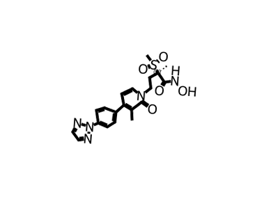 Cc1c(-c2ccc(-n3nccn3)cc2)ccn(CC[C@](C)(C(=O)NO)S(C)(=O)=O)c1=O